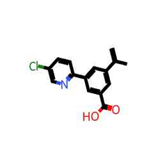 C=C(C)c1cc(C(=O)O)cc(-c2ccc(Cl)cn2)c1